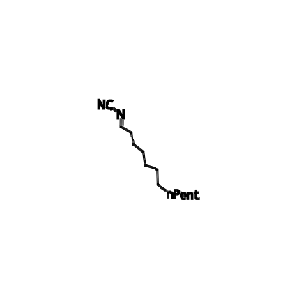 CCCCCCCCCCCC=NC#N